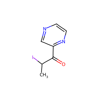 CC(I)C(=O)c1cnccn1